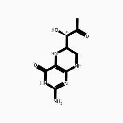 CC(=O)[C@H](O)C1CNc2nc(N)[nH]c(=O)c2N1